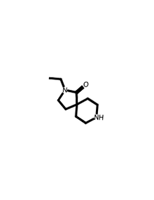 CCN1CCC2(CCNCC2)C1=O